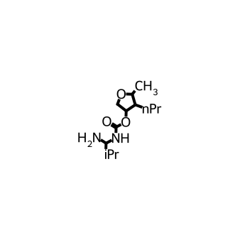 CCCC1C(C)OCC1OC(=O)NC(N)C(C)C